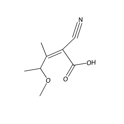 COC(C)/C(C)=C(/C#N)C(=O)O